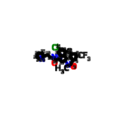 CN(C(=O)c1cc(C(F)(F)F)cc(C(F)(F)F)c1)C(CCC(=O)NCCc1ccccn1)Cc1ccc(Cl)cc1